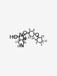 Cc1cccc(Oc2ccc(Oc3nc(O)c4ccncc4n3)cc2)c1